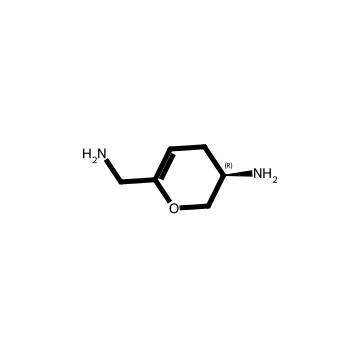 NCC1=CC[C@@H](N)CO1